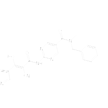 Cc1oncc1/C(O)=C(\C#N)C(=O)Nc1ncc(C(=O)N(C)Cc2ccccc2)cn1